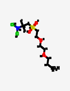 CC(C)(CS(=O)(=O)CCOCCOCCS(=O)(=O)O)N(Cl)Cl